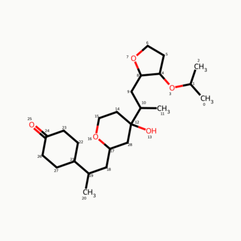 CC(C)OC1CCOC1CC(C)C1(O)CCOC(CC(C)C2CCC(=O)CC2)C1